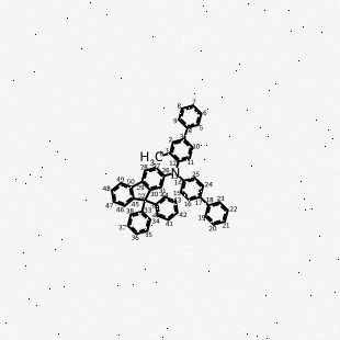 Cc1cc(-c2ccccc2)ccc1N(c1ccc(-c2ccccc2)cc1)c1ccc2c(c1)C(c1ccccc1)(c1ccccc1)c1ccccc1-2